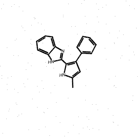 Cc1cc(-c2ccccc2)c(-c2nc3ccccc3[nH]2)[nH]1